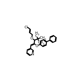 CC(C)(C)C(OCC=CCl)C(=Cc1cccnc1)Oc1ccc(-c2ccccc2)cc1